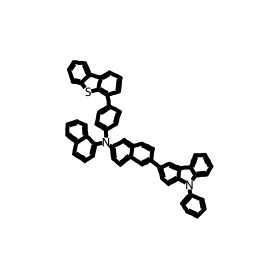 c1ccc(-n2c3ccccc3c3cc(-c4ccc5cc(N(c6ccc(-c7cccc8c7sc7ccccc78)cc6)c6cccc7ccccc67)ccc5c4)ccc32)cc1